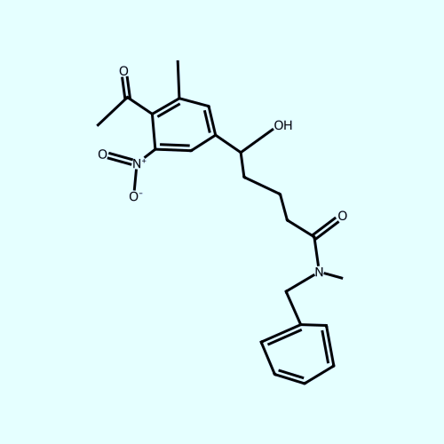 CC(=O)c1c(C)cc(C(O)CCCC(=O)N(C)Cc2ccccc2)cc1[N+](=O)[O-]